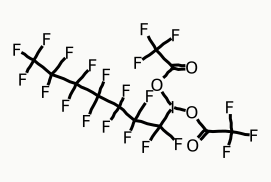 O=C(OI(OC(=O)C(F)(F)F)C(F)(F)C(F)(F)C(F)(F)C(F)(F)C(F)(F)C(F)(F)C(F)(F)F)C(F)(F)F